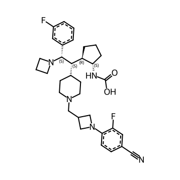 N#Cc1ccc(N2CC(CN3CCC([C@@H]([C@H]4CCC[C@@H]4NC(=O)O)[C@@H](c4cccc(F)c4)N4CCC4)CC3)C2)c(F)c1